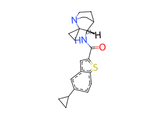 O=C(N[C@H]1C2CCN(CC2)C12CC2)c1cc2cc(C3CC3)ccc2s1